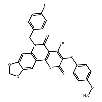 COc1ccc(Sc2c(O)c3c(=O)n(Cc4ccc(F)cc4)c4cc5c(cc4c3oc2=O)OCO5)cc1